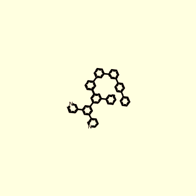 c1ccc(-c2ccc(-c3cccc(-c4cccc(-c5cccc(-c6cc(-c7ccccc7)cc(-c7cc(-c8cccnc8)cc(-c8cccnc8)c7)c6)c5)c4)c3)cc2)cc1